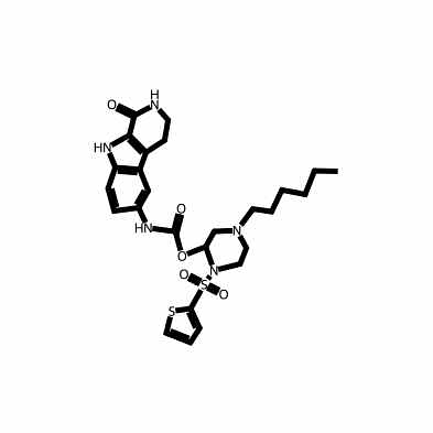 CCCCCCN1CCN(S(=O)(=O)c2cccs2)C(OC(=O)Nc2ccc3[nH]c4c(c3c2)CCNC4=O)C1